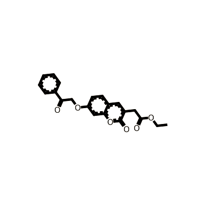 CCOC(=O)Cc1cc2ccc(OCC(=O)c3ccccc3)cc2oc1=O